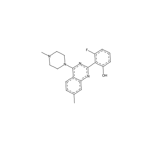 Cc1ccc2c(N3CCN(C)CC3)nc(-c3c(O)cccc3F)nc2c1